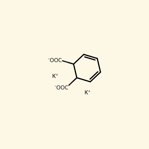 O=C([O-])C1C=CC=CC1C(=O)[O-].[K+].[K+]